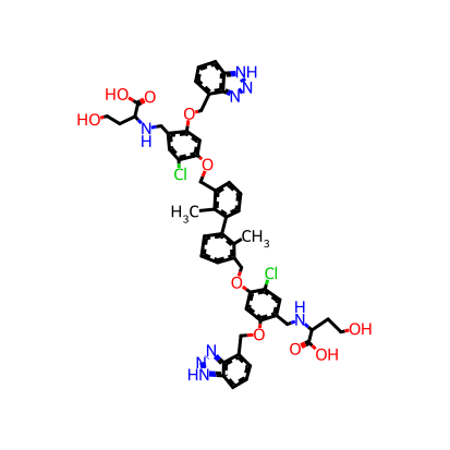 Cc1c(COc2cc(OCc3cccc4[nH]nnc34)c(CNC(CCO)C(=O)O)cc2Cl)cccc1-c1cccc(COc2cc(OCc3cccc4[nH]nnc34)c(CNC(CCO)C(=O)O)cc2Cl)c1C